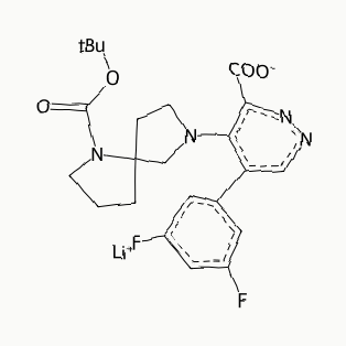 CC(C)(C)OC(=O)N1CCCC12CCN(c1c(-c3cc(F)cc(F)c3)cnnc1C(=O)[O-])C2.[Li+]